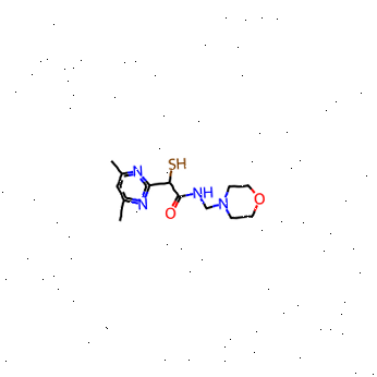 Cc1cc(C)nc(C(S)C(=O)NCN2CCOCC2)n1